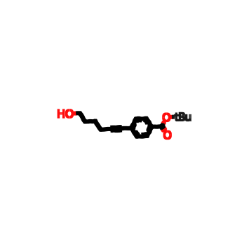 CC(C)(C)OC(=O)c1ccc(C#CCCCCO)cc1